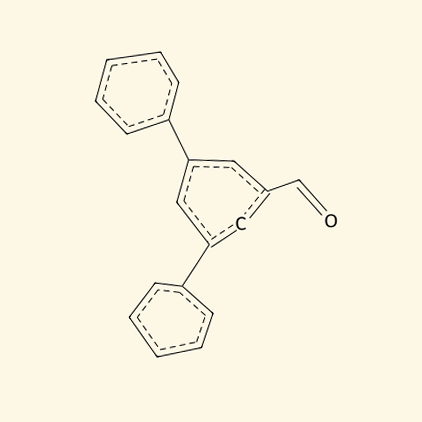 O=Cc1cc(-c2ccccc2)cc(-c2ccccc2)c1